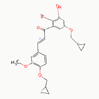 COc1cc(/C=C/C(=O)c2cc(OCC3CC3)cc(O)c2Br)ccc1OCC1CC1